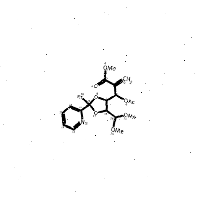 C=C(C(=O)OC)C(OC(C)=O)C1OC(CC)(c2ccccn2)OC1C(OC)OC